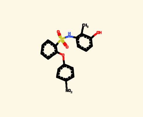 Cc1c(O)cccc1NS(=O)(=O)c1ccccc1Oc1ccc([N+](=O)[O-])cc1